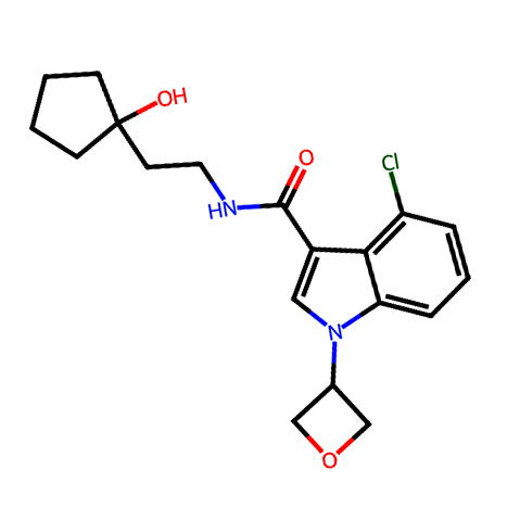 O=C(NCCC1(O)CCCC1)c1cn(C2COC2)c2cccc(Cl)c12